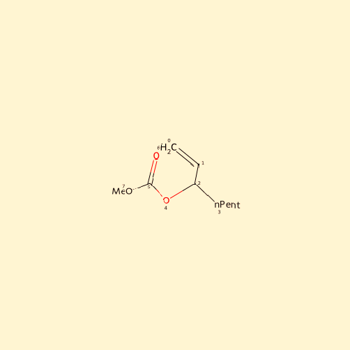 C=CC(CCCCC)OC(=O)OC